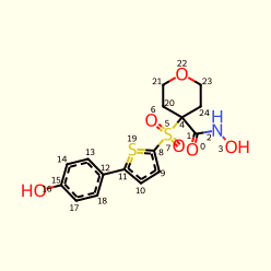 O=C(NO)C1(S(=O)(=O)c2ccc(-c3ccc(O)cc3)s2)CCOCC1